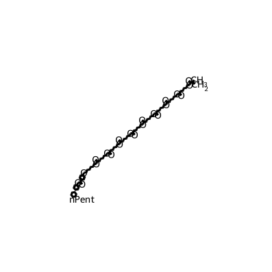 C=C(C)C(=O)OCCCCCC(=O)OCCCCCC(=O)OCCCCCC(=O)OCCCCCC(=O)OCCCCCC(=O)OCCCCCC(=O)OCCCCCC(=O)OCCCCCC(=O)OCCCCCCOc1ccc(C(=O)Oc2ccc([C@H]3CC[C@H](CCCCC)CC3)cc2)cc1